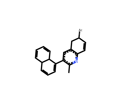 CC(=O)C1C=Cc2nc(C)c(C3=CC=CC4C=CC=CC34)cc2C1